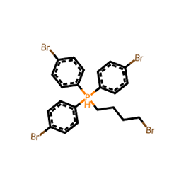 BrCCCC[PH](c1ccc(Br)cc1)(c1ccc(Br)cc1)c1ccc(Br)cc1